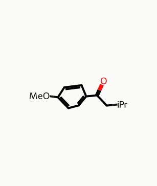 COc1ccc(C(=O)CC(C)C)cc1